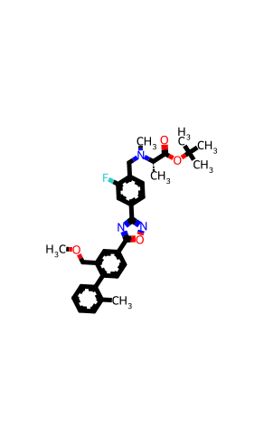 COCc1cc(-c2nc(-c3ccc(CN(C)[C@@H](C)C(=O)OC(C)(C)C)c(F)c3)no2)ccc1-c1ccccc1C